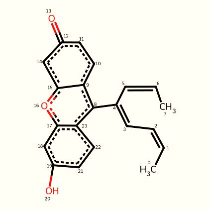 C\C=C/C=C(\C=C/C)c1c2ccc(=O)cc-2oc2cc(O)ccc12